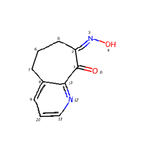 O=C1C(=NO)CCCc2cccnc21